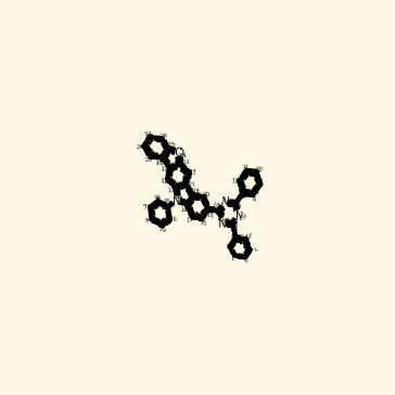 c1ccc(-c2nc(-c3ccccc3)nc(-c3ccc4c(c3)c3cc5oc6ccccc6c5cc3n4-c3ccccc3)n2)cc1